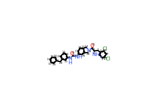 N[C@H](Cc1ccc(Cl)cc1Cl)C(=O)N1Cc2ccc(NC(=O)Nc3cccc(Cc4ccccc4)c3)cc2C1